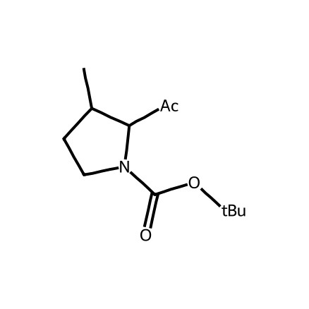 CC(=O)C1C(C)CCN1C(=O)OC(C)(C)C